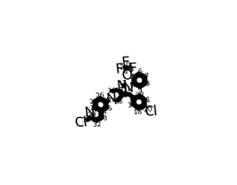 FC(F)(F)Oc1ccccc1-n1nc2c(c1-c1ccc(Cl)cc1)CN(c1ccc3nc(Cl)ccc3c1)C2